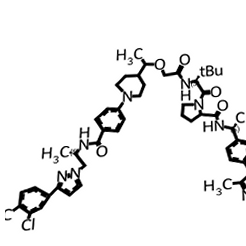 Cc1ncsc1-c1ccc([C@H](C)NC(=O)C2CCCN2C(=O)[C@@H](NC(=O)COC(C)C2CCN(c3ccc(C(=O)N[C@@H](C)Cn4ccc(-c5ccc(C#N)c(Cl)c5)n4)cc3)CC2)C(C)(C)C)cc1